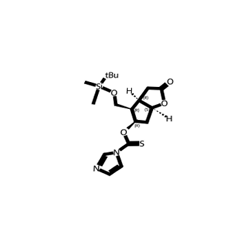 CC(C)(C)[Si](C)(C)OC[C@H]1[C@H]2CC(=O)O[C@H]2C[C@H]1OC(=S)n1ccnc1